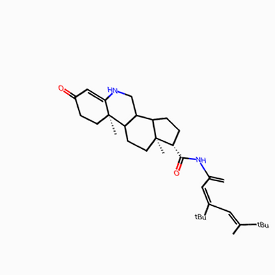 C=C(/C=C(\C=C(/C)C(C)(C)C)C(C)(C)C)NC(=O)[C@H]1CCC2C3CNC4=CC(=O)CC[C@]4(C)C3CC[C@@]21C